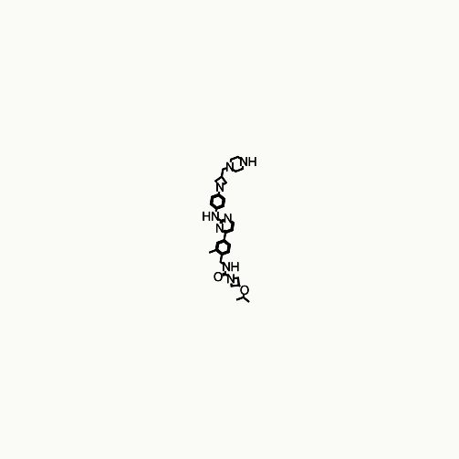 Cc1cc(-c2ccnc(Nc3ccc(N4CC(CN5CCNCC5)C4)cc3)n2)ccc1CNC(=O)N1CC(OC(C)C)C1